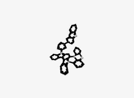 c1cc(-c2ccc3oc4ccccc4c3c2)cc(-n2c3ccccc3c3c4c5ccccc5n5c4c(cc32)B2c3ccccc3Oc3cccc-5c32)c1